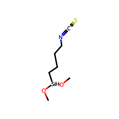 CO[SiH](CCCCN=C=S)OC